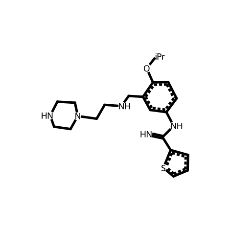 CC(C)Oc1ccc(NC(=N)c2cccs2)cc1CNCCN1CCNCC1